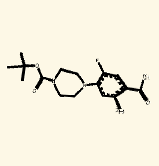 [2H]c1cc(N2CCN(C(=O)OC(C)(C)C)CC2)c(F)cc1C(=O)O